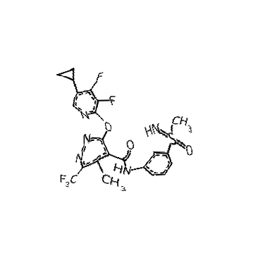 Cc1c(C(F)(F)F)nnc(Oc2ncc(C3CC3)c(F)c2F)c1C(=O)Nc1cccc(S(C)(=N)=O)c1